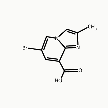 Cc1cn2cc(Br)cc(C(=O)O)c2n1